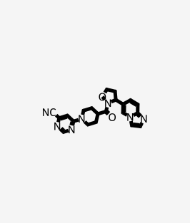 N#Cc1cc(N2CCC(C(=O)N3OCCC3c3ccc4nccn4c3)CC2)ncn1